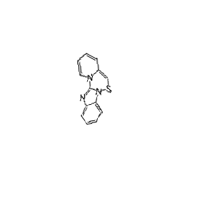 C1=CC2=CSn3c(nc4ccccc43)N2C=C1